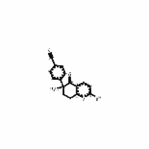 CC1(c2ccc(C#N)cc2)CCc2nc(O)ccc2C1=O